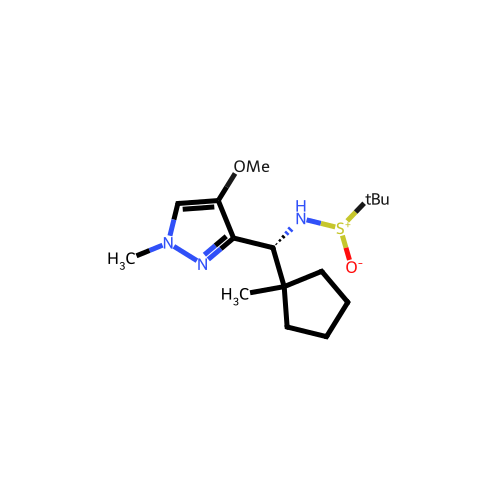 COc1cn(C)nc1[C@H](N[S+]([O-])C(C)(C)C)C1(C)CCCC1